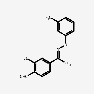 CCc1cc(C(C)=NOc2cccc(C(F)(F)F)c2)ccc1C=O